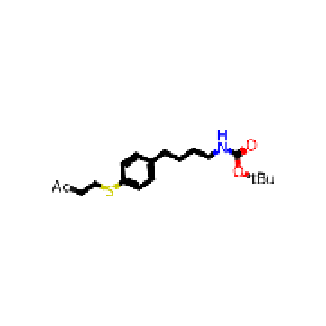 CC(=O)CCSc1ccc(CCCCNC(=O)OC(C)(C)C)cc1